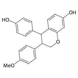 COc1ccc(C2COc3cc(O)ccc3C2c2ccc(O)cc2)cc1